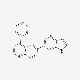 c1cc(-c2ccnc3ccc(-c4cnc5cc[nH]c5c4)cc23)ccn1